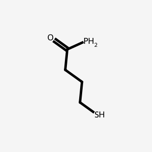 O=C(P)CCCS